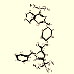 CN(C)c1nc(N[C@H]2CC[C@@H](NC(=O)c3cc(C(C)(C)C)nn3Cc3ccccc3)CC2)nc2c1CCCC2